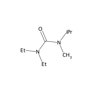 CCN(CC)C(=O)N(C)C(C)C